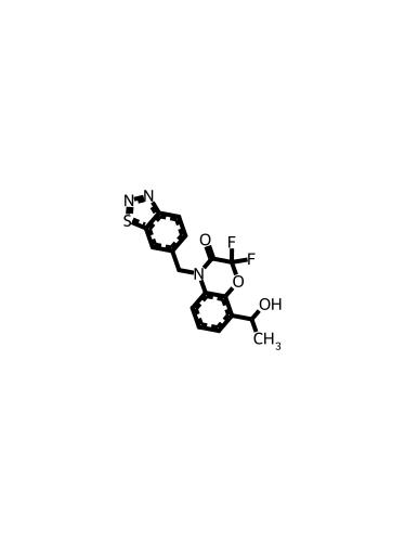 CC(O)c1cccc2c1OC(F)(F)C(=O)N2Cc1ccc2nnsc2c1